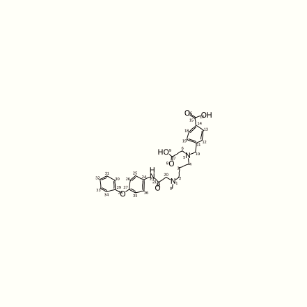 CN(CCCN(CC(=O)O)Cc1ccc(C(=O)O)cc1)CC(=O)Nc1ccc(Oc2ccccc2)cc1